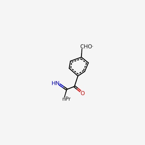 CCCC(=N)C(=O)c1ccc([C]=O)cc1